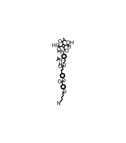 CC(C)Nc1cc(NC(=O)C2C(C(=O)O)C(C(=O)C(C)C)C2C(=O)O)ccc1CCOC(=O)/C=C/c1ccc(OC(=O)c2ccc(OCCCCC#N)cc2)cc1